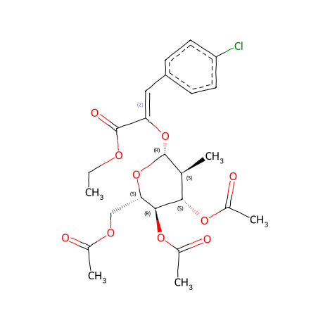 CCOC(=O)/C(=C/c1ccc(Cl)cc1)O[C@H]1O[C@@H](COC(C)=O)[C@H](OC(C)=O)[C@@H](OC(C)=O)[C@@H]1C